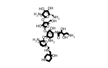 NC[C@@H](O)C(O)C(=O)N[C@@H]1C[C@H](N)[C@@H](O[C@H]2O[C@H](CNCC3(O)CCNCC3)C=C[C@H]2N)[C@H](O[C@@H]2O[C@H](CO)[C@@H](O[C@H]3O[C@@H](CN)[C@@H](O)[C@H](O)[C@H]3N)[C@H]2O)[C@H]1O